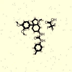 COc1ccc(C23CCC(NC(=O)Nc4ccc(C)cc4)CC2N(C)CC3)cc1OC.O=C(O)C(F)(F)F